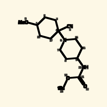 COC1CCC(C#N)(N2CCC(NC(=O)OC(C)(C)C)CC2)CC1